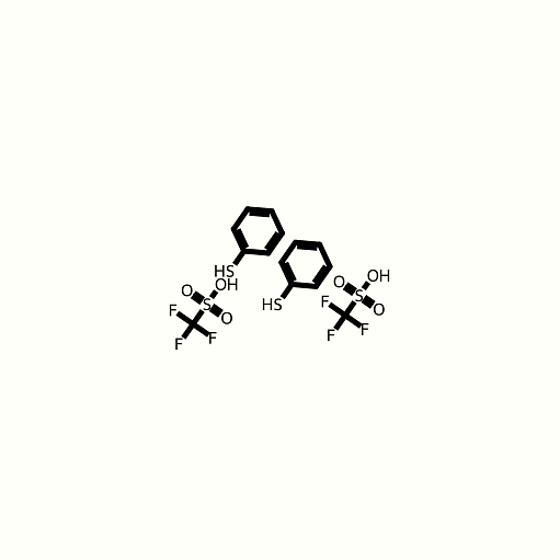 O=S(=O)(O)C(F)(F)F.O=S(=O)(O)C(F)(F)F.Sc1ccccc1.Sc1ccccc1